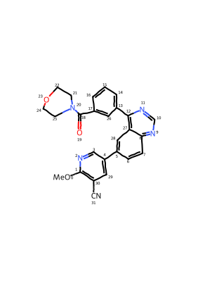 COc1ncc(-c2ccc3ncnc(-c4cccc(C(=O)N5CCOCC5)c4)c3c2)cc1C#N